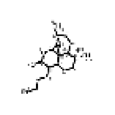 CC(C)CCC[C@H]1C(=O)OC2OC3(C)CC[C@H]4[C@H](C)CCC1C24OO3